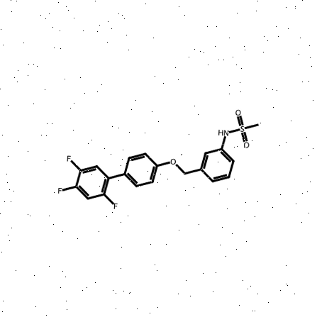 CS(=O)(=O)Nc1cccc(COc2ccc(-c3cc(F)c(F)cc3F)cc2)c1